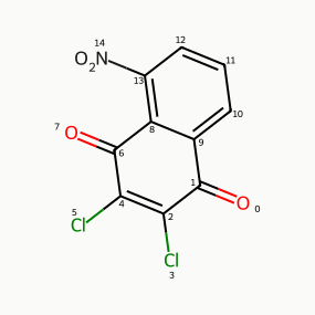 O=C1C(Cl)=C(Cl)C(=O)c2c1cccc2[N+](=O)[O-]